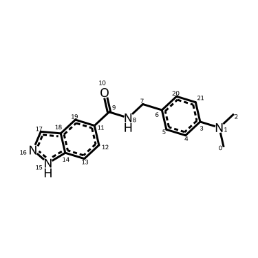 CN(C)c1ccc(CNC(=O)c2ccc3[nH]ncc3c2)cc1